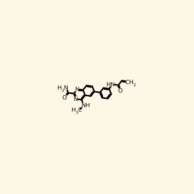 C=CC(=O)Nc1cccc(-c2ccc3nc(C(N)=O)nc(NC)c3c2)c1